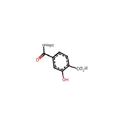 CCCCCCCC(=O)c1ccc(C(=O)O)c(O)c1